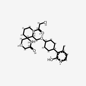 Cc1ccnc(O)c1C1CCC(OCC2N(C(=O)CCl)CCCC23COCC(=O)N3)CC1